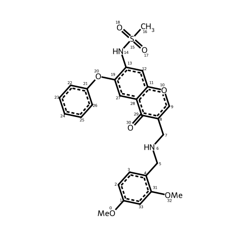 COc1ccc(CNCc2coc3cc(NS(C)(=O)=O)c(Oc4ccccc4)cc3c2=O)c(OC)c1